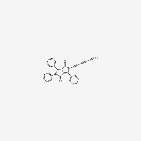 C#CC#CC#CN1C(=O)C2=C(c3ccccc3)N(c3ccccc3)C(=O)C2=C1c1ccccc1